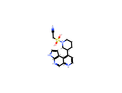 N#CCS(=O)(=O)N1CCCC(c2ccnc3cnc4[nH]ccc4c23)C1